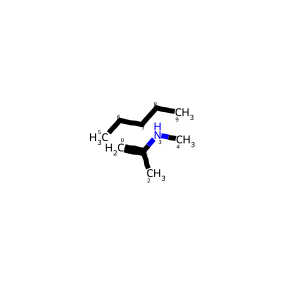 C=C(C)NC.CCCCC